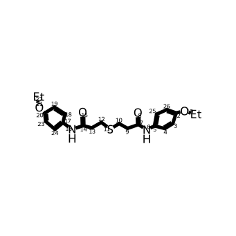 CCOc1ccc(NC(=O)CCSCCC(=O)Nc2ccc(OCC)cc2)cc1